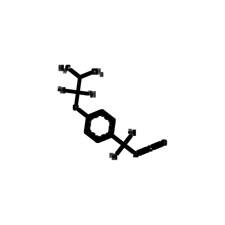 [2H]C([2H])(N=C=O)c1ccc(OC([2H])([2H])C(C)C)cc1